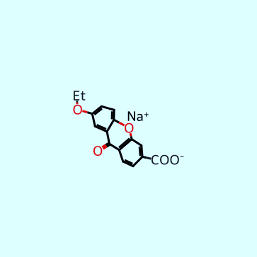 CCOc1ccc2oc3cc(C(=O)[O-])ccc3c(=O)c2c1.[Na+]